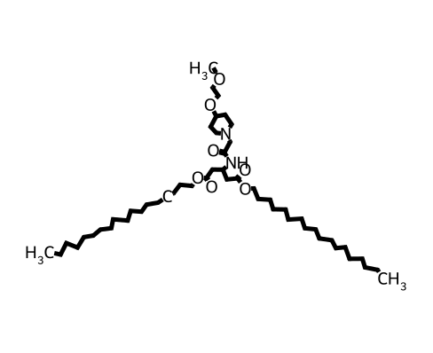 CCCCCCCCCCCCCCCCCCOC(=O)CC(CC(=O)OCCCCCCCCCCCCCCCCCC)NC(=O)CN1CCC(OCCOC)CC1